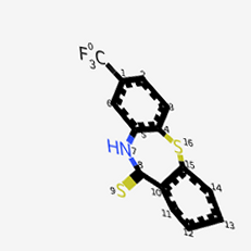 FC(F)(F)c1ccc2c(c1)NC(=S)c1ccccc1S2